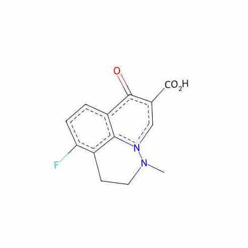 CN1CCc2c(F)ccc3c(=O)c(C(=O)O)cn1c23